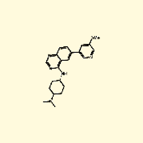 CSc1cncc(-c2ccc3ncnc(N[C@H]4CC[C@H](N(C)C)CC4)c3c2)c1